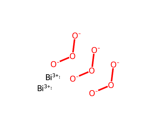 [Bi+3].[Bi+3].[O-]O[O-].[O-]O[O-].[O-]O[O-]